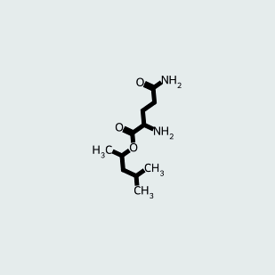 CC(C)CC(C)OC(=O)C(N)CCC(N)=O